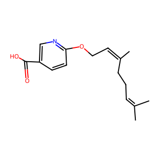 CC(C)=CCCC(C)=CCOc1ccc(C(=O)O)cn1